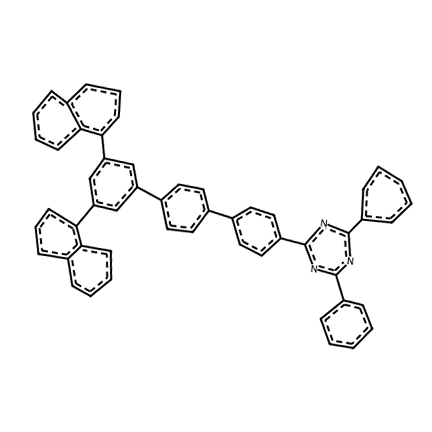 c1ccc(-c2nc(-c3ccccc3)nc(-c3ccc(-c4ccc(-c5cc(-c6cccc7ccccc67)cc(-c6cccc7ccccc67)c5)cc4)cc3)n2)cc1